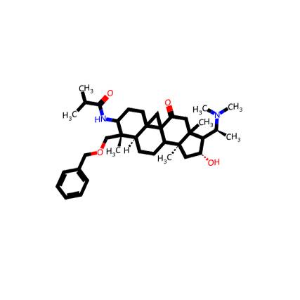 CC(C)C(=O)NC1CCC23CC24C(=O)CC2(C)C([C@H](C)N(C)C)[C@H](O)C[C@@]2(C)C4CC[C@H]3[C@]1(C)COCc1ccccc1